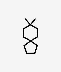 CC1(C)CCC2(CCCC2)CC1